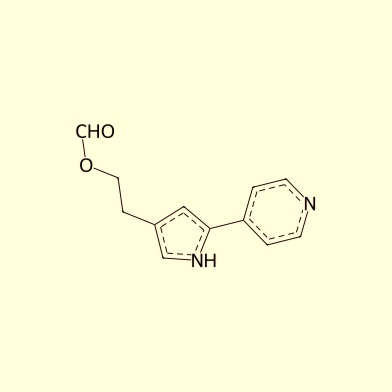 O=COCCc1c[nH]c(-c2ccncc2)c1